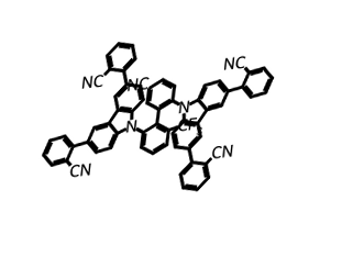 N#Cc1ccc(-n2c3ccc(-c4ccccc4C#N)cc3c3cc(-c4ccccc4C#N)ccc32)c(-c2c(-n3c4ccc(-c5ccccc5C#N)cc4c4cc(-c5ccccc5C#N)ccc43)cccc2C(F)(F)F)c1